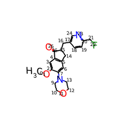 COc1cc2c(cc1N1CCOCC1)CC(Cc1ccc(CF)nc1)C2=O